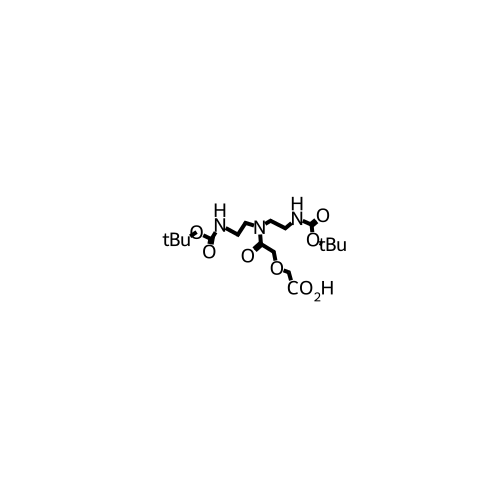 CC(C)(C)OC(=O)NCCN(CCNC(=O)OC(C)(C)C)C(=O)COCC(=O)O